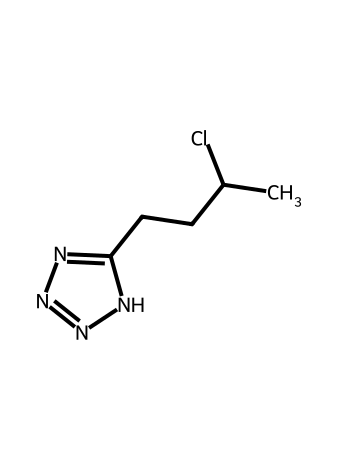 CC(Cl)CCc1nnn[nH]1